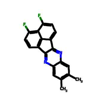 Cc1cc2nc3c(nc2cc1C)-c1ccc(F)c2c(F)ccc-3c12